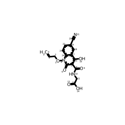 C=CCOn1c(=O)c(C(=O)NCC(=O)O)c(O)c2cc(C#N)ccc21